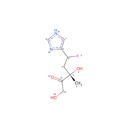 C[C@](O)(CC(I)c1c[nH]cn1)C(=O)CO